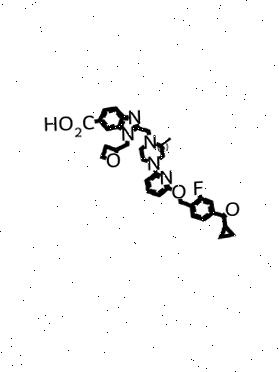 C[C@H]1CN(c2cccc(OCc3ccc(C(=O)C4CC4)cc3F)n2)CCN1Cc1nc2ccc(C(=O)O)cc2n1CC1CCO1